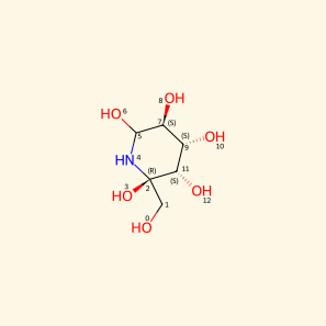 OC[C@]1(O)NC(O)[C@@H](O)[C@H](O)[C@@H]1O